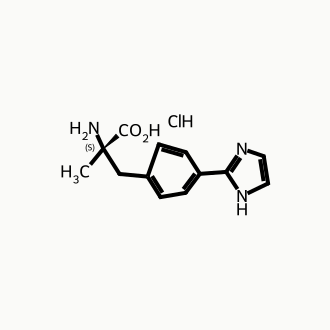 C[C@](N)(Cc1ccc(-c2ncc[nH]2)cc1)C(=O)O.Cl